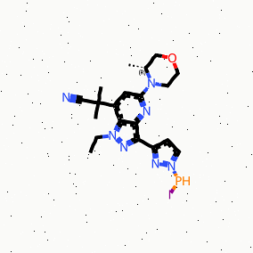 CCn1nc(-c2ccn(PI)n2)c2nc(N3CCOC[C@H]3C)cc(C(C)(C)C#N)c21